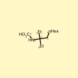 CCCCCCCC(CC)(CC)NC(=O)O